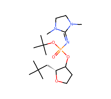 CN1CCN(C)C1=NP(=O)(OC1CCO[C@@H]1CC(C)(C)C)OC(C)(C)C